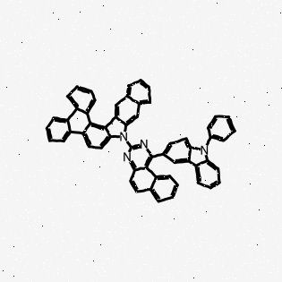 c1ccc(-n2c3ccccc3c3cc(-c4nc(-n5c6cc7ccccc7cc6c6c7c8ccccc8c8ccccc8c7ccc65)nc5ccc6ccccc6c45)ccc32)cc1